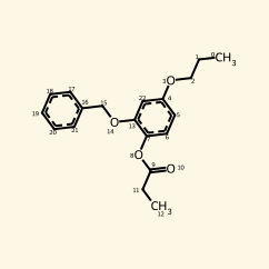 CCCOc1ccc(OC(=O)CC)c(OCc2ccccc2)c1